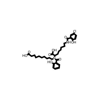 O=C(O)CCCCCCCCCN(C(=O)c1ccccc1O)C(CCCCCCNC(=O)c1cc(Cl)ccc1O)C(=O)O